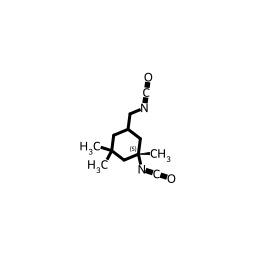 CC1(C)CC(CN=C=O)C[C@](C)(N=C=O)C1